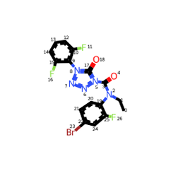 CCN(C(=O)n1nnn(-c2c(F)cccc2F)c1=O)c1ccc(Br)cc1F